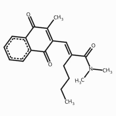 CCCCC(=CC1=C(C)C(=O)c2ccccc2C1=O)C(=O)N(C)C